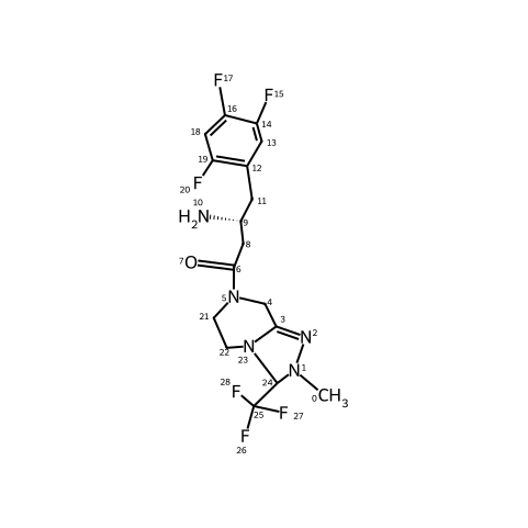 CN1N=C2CN(C(=O)C[C@H](N)Cc3cc(F)c(F)cc3F)CCN2C1C(F)(F)F